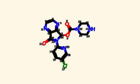 O=C(O[C@@H]1c2nccnc2C(=O)N1c1ccc(Cl)cn1)N1CCNCC1